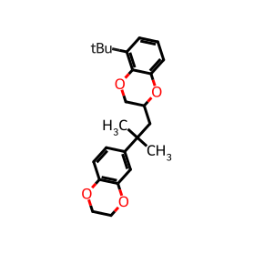 CC(C)(C)c1cccc2c1OCC(CC(C)(C)c1ccc3c(c1)OCCO3)O2